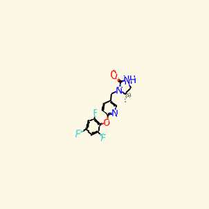 C[C@H]1CNC(=O)N1Cc1ccc(Oc2c(F)cc(F)cc2F)nc1